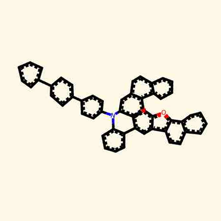 c1ccc(-c2ccc(-c3ccc(N(c4ccc5c(ccc6ccccc65)c4)c4ccccc4-c4ccc5oc6c7ccccc7ccc6c5c4)cc3)cc2)cc1